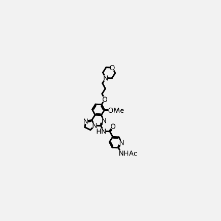 COc1c(OCCCN2CCOCC2)ccc2c1N=C(NC(=O)c1ccc(NC(C)=O)nc1)N1CCN=C21